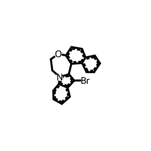 Brc1c2n(c3ccccc13)CCOc1ccc3ccccc3c1-2